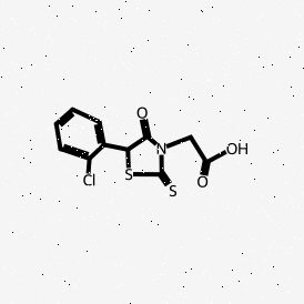 O=C(O)CN1C(=O)C(c2ccccc2Cl)SC1=S